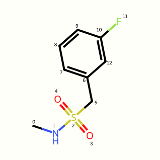 CNS(=O)(=O)Cc1cccc(F)c1